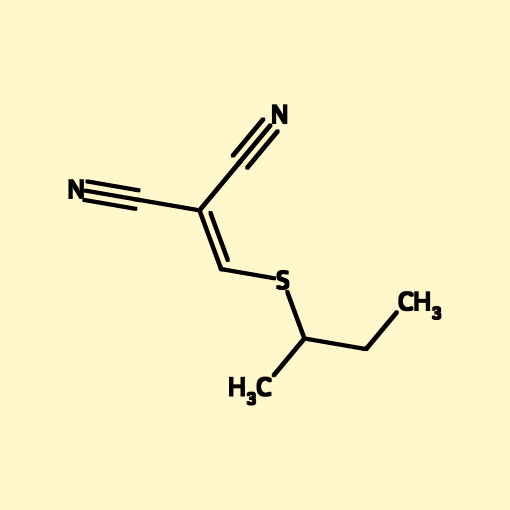 CCC(C)SC=C(C#N)C#N